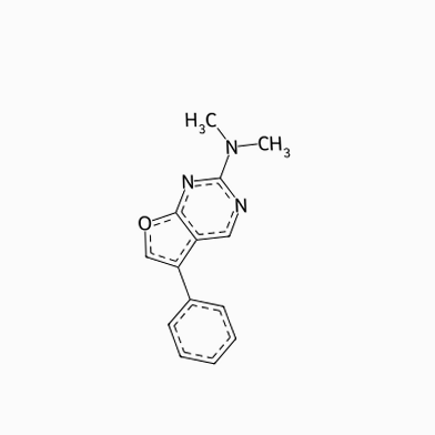 CN(C)c1ncc2c(-c3ccccc3)coc2n1